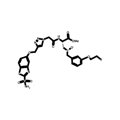 COC(=O)[C@H](C[S+]([O-])Cc1cccc(OCCF)c1)NC(=O)Cn1cc(COc2ccc3sc(S(N)(=O)=O)nc3c2)nn1